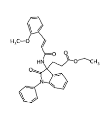 CCOC(=O)CCC1(NC(=O)/C=C/c2ccccc2OC)C(=O)N(c2ccccc2)c2ccccc21